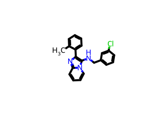 Cc1ccccc1-c1nc2ccccn2c1NCc1cccc(Cl)c1